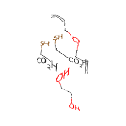 C=CCOCC=C.O=C(O)CS.O=C(O)CS.OCCO